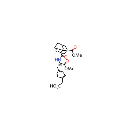 COC(=O)[C@H](Cc1ccc(CC(=O)O)cc1)NC(=O)C12CC3CC(C1)CC(C(=O)OC)(C3)C2